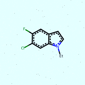 CCn1ccc2cc(F)c(Cl)cc21